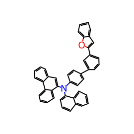 c1cc(-c2ccc(N(c3cccc4ccccc34)c3cc4ccccc4c4ccccc34)cc2)cc(-c2cc3ccccc3o2)c1